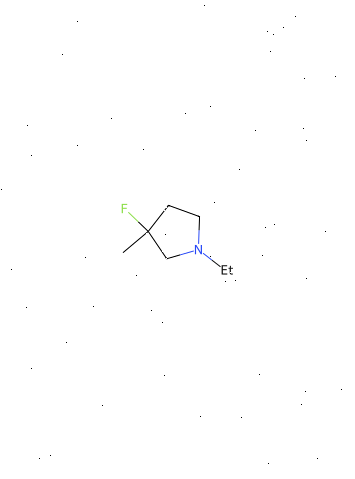 CCN1CCC(C)(F)C1